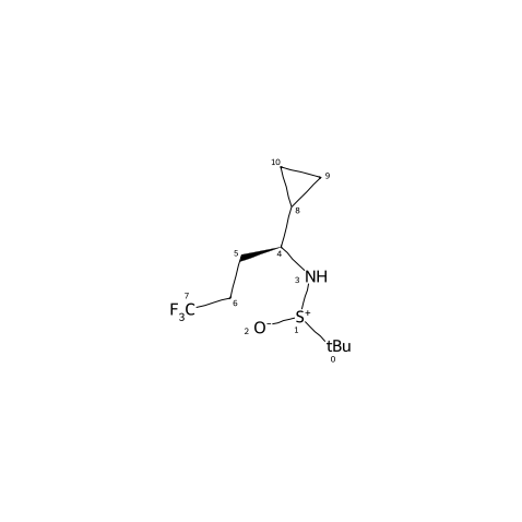 CC(C)(C)[S+]([O-])N[C@@H](CCC(F)(F)F)C1CC1